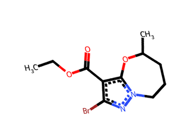 CCOC(=O)c1c(Br)nn2c1OC(C)CCC2